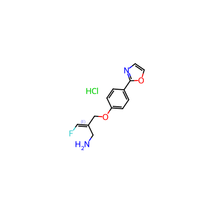 Cl.NC/C(=C\F)COc1ccc(-c2ncco2)cc1